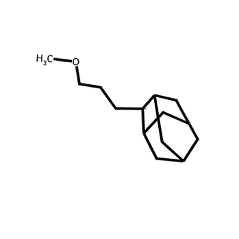 COCCC[C]1C2CC3CC(C2)CC1C3